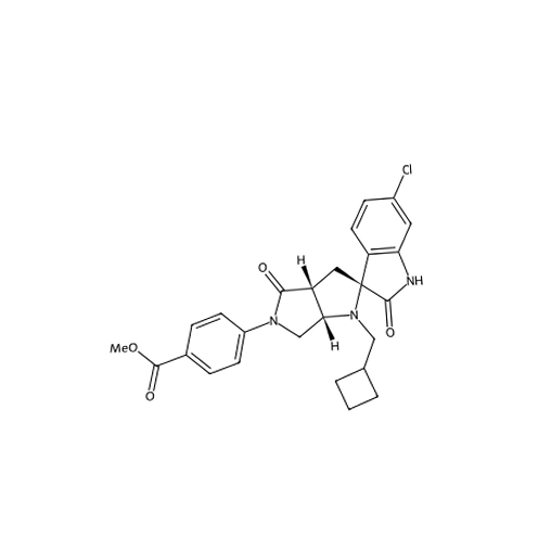 COC(=O)c1ccc(N2C[C@@H]3[C@@H](C[C@@]4(C(=O)Nc5cc(Cl)ccc54)N3CC3CCC3)C2=O)cc1